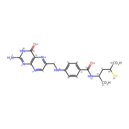 Nc1nc2ncc(CNc3ccc(C(=O)NC(CC(S)C(=O)O)C(=O)O)cc3)nc2c(=O)[nH]1